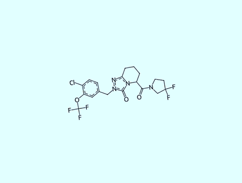 O=C(C1CCCc2nn(Cc3ccc(Cl)c(OC(F)(F)F)c3)c(=O)n21)N1CCC(F)(F)C1